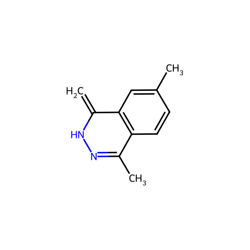 C=C1NN=C(C)c2ccc(C)cc21